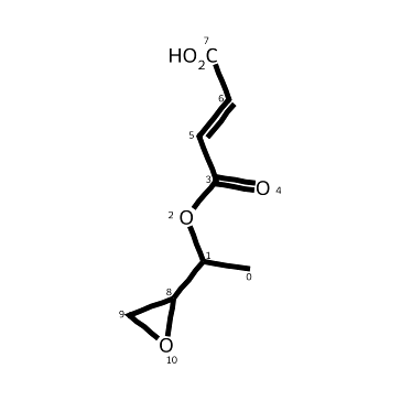 CC(OC(=O)C=CC(=O)O)C1CO1